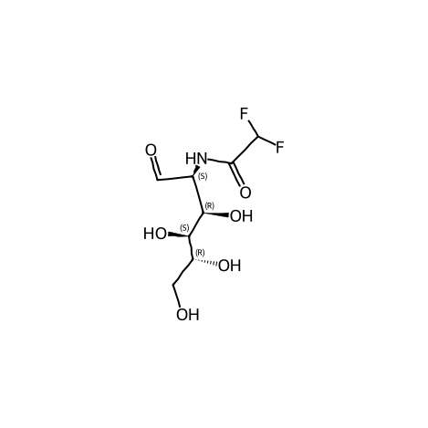 O=C[C@@H](NC(=O)C(F)F)[C@@H](O)[C@H](O)[C@H](O)CO